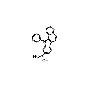 OB(O)c1ccc2c3ccc4ccccc4c3n(-c3ccccc3)c2c1